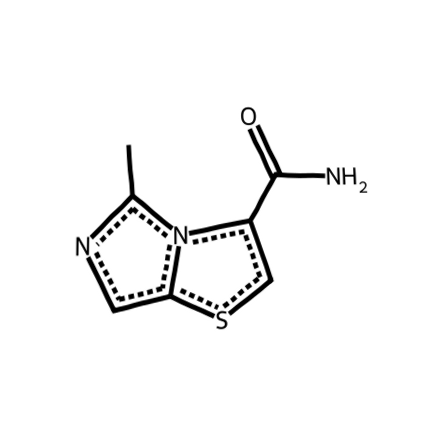 Cc1ncc2scc(C(N)=O)n12